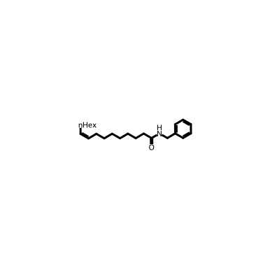 CCCCCC/C=C\CCCCCCCC(=O)NCc1ccccc1